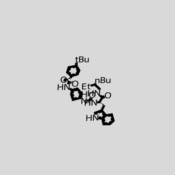 CCCCC(CC)CNC(=O)[C@H](Cc1c[nH]c2ccccc12)NC(=O)Nc1ccc(NS(=O)(=O)c2ccc(C(C)(C)C)cc2)cc1